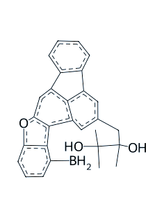 Bc1cccc2oc3cc4c5c(cc(CC(C)(O)C(C)(C)O)cc5c3c12)-c1ccccc1-4